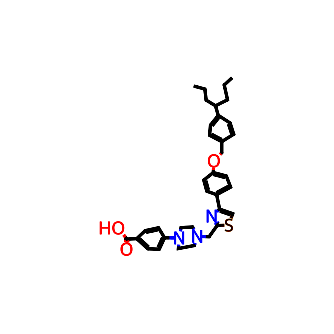 CCCC(CCC)c1ccc(COc2ccc(-c3csc(CN4CCN(c5ccc(C(=O)O)cc5)CC4)n3)cc2)cc1